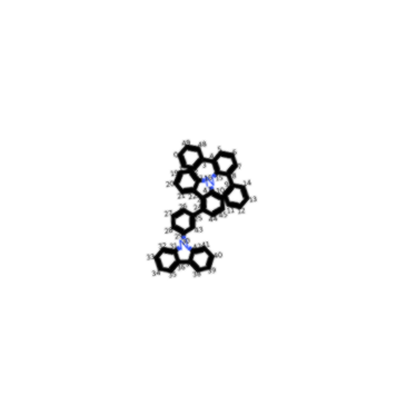 c1ccc(-c2cccc(-c3ccccc3)c2-n2c3ccccc3c3c(-c4cccc(-n5c6ccccc6c6ccccc65)c4)cccc32)cc1